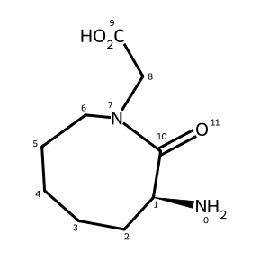 N[C@H]1CCCCCN(CC(=O)O)C1=O